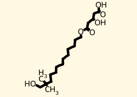 CC(C)(CO)CCCCCCCCCCCOC(=O)CC(O)CC(=O)O